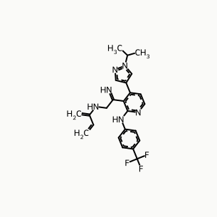 C=CC(=C)NCC(=N)c1c(-c2cnn(C(C)C)c2)ccnc1Nc1ccc(C(F)(F)F)cc1